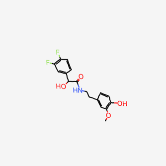 COc1cc(CCNC(=O)C(O)c2ccc(F)c(F)c2)ccc1O